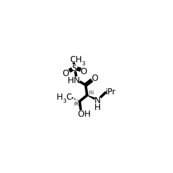 CC(C)N[C@H](C(=O)NS(C)(=O)=O)[C@@H](C)O